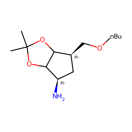 CCCCOC[C@H]1C[C@@H](N)C2OC(C)(C)OC21